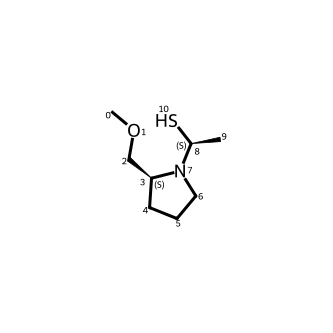 COC[C@@H]1CCCN1[C@H](C)S